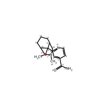 COC1(c2cc(C(N)=O)ccn2)C2CCCC1CN(C)C2